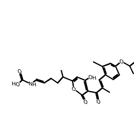 C/C(=C\c1ccc(OC(C)C)cc1C)C(=O)c1c(O)cc(C(C)CC/C=C/NC(=O)O)oc1=O